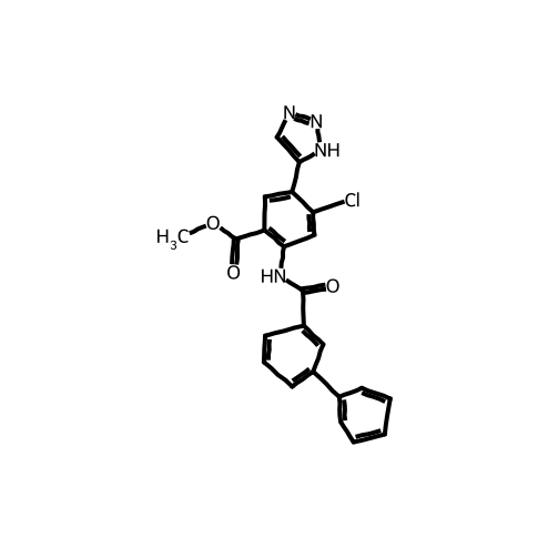 COC(=O)c1cc(-c2cnn[nH]2)c(Cl)cc1NC(=O)c1cccc(-c2ccccc2)c1